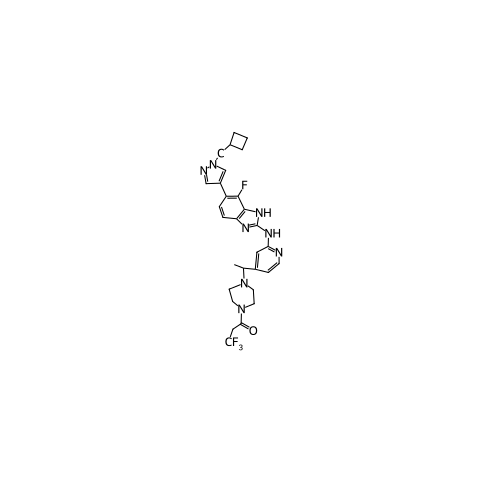 CC(c1ccnc(Nc2nc3ccc(-c4cnn(CC5CCC5)c4)c(F)c3[nH]2)c1)N1CCN(C(=O)CC(F)(F)F)CC1